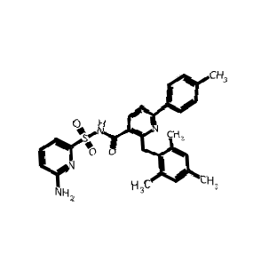 Cc1ccc(-c2ccc(C(=O)NS(=O)(=O)c3cccc(N)n3)c(Cc3c(C)cc(C)cc3C)n2)cc1